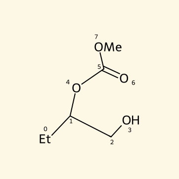 CCC(CO)OC(=O)OC